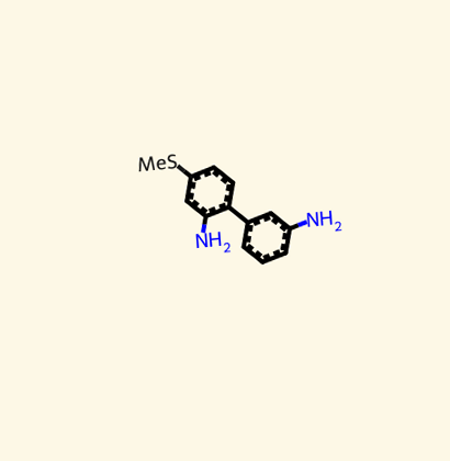 CSc1ccc(-c2cccc(N)c2)c(N)c1